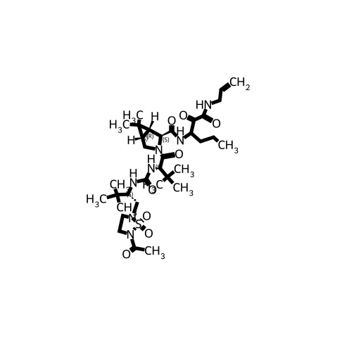 C=CCNC(=O)C(=O)C(CCC)NC(=O)[C@@H]1[C@@H]2[C@H](CN1C(=O)[C@@H](NC(=O)N[C@H](CN1CCN(C(C)=O)S1(=O)=O)C(C)(C)C)C(C)(C)C)C2(C)C